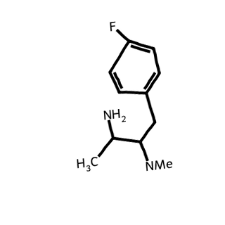 CNC(Cc1ccc(F)cc1)C(C)N